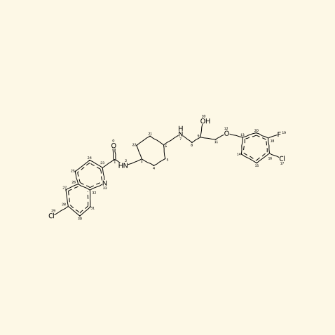 O=C(NC1CCC(NCC(O)COc2ccc(Cl)c(F)c2)CC1)c1ccc2cc(Cl)ccc2n1